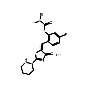 CCN(CC)C(=O)Oc1cc(F)ccc1/C=C1/SC(N2CCCCN2)=NC1=O.Cl